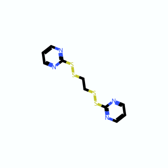 c1cnc(SSCCSSc2ncccn2)nc1